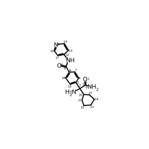 NC(=O)C(N)(c1ccc(C(=O)Nc2ccncc2)cc1)C1CCCCC1